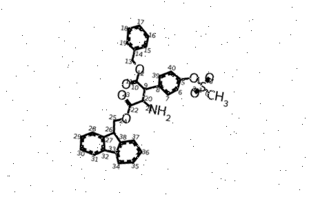 CS(=O)(=O)Oc1ccc(C(C(=O)OCc2ccccc2)C(N)C(=O)OCC2c3ccccc3-c3ccccc32)cc1